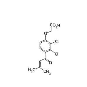 CC(C)=CC(=O)c1ccc(OCC(=O)O)c(Cl)c1Cl